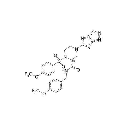 O=C(NCc1ccc(OC(F)(F)F)cc1)[C@H]1CN(c2nn3cnnc3s2)CCN1S(=O)(=O)c1ccc(OC(F)(F)F)cc1